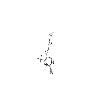 COCCOCCOc1cnc(C#N)nc1C(C)(C)C